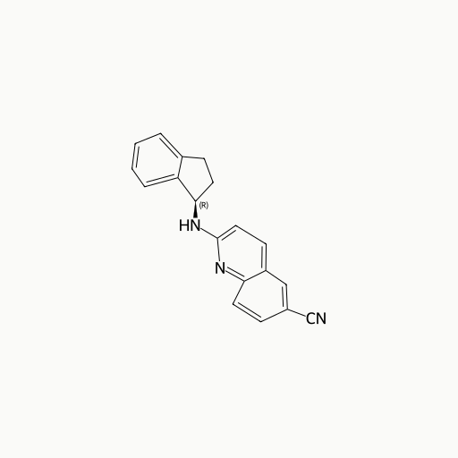 N#Cc1ccc2nc(N[C@@H]3CCc4ccccc43)ccc2c1